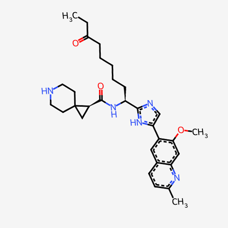 CCC(=O)CCCCC[C@H](NC(=O)[C@H]1CC12CCNCC2)c1ncc(-c2cc3ccc(C)nc3cc2OC)[nH]1